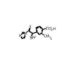 Cc1cc(C(S)C(=S)n2ccnc2)ccc1C(=O)O